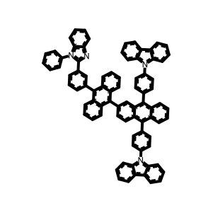 c1ccc(-n2c(-c3cccc(-c4c5ccccc5c(-c5ccc6c(-c7ccc(-n8c9ccccc9c9ccccc98)cc7)c7ccccc7c(-c7ccc(-n8c9ccccc9c9ccccc98)cc7)c6c5)c5ccccc45)c3)nc3ccccc32)cc1